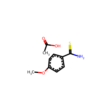 CC(=O)O.COc1ccc(C(N)=S)cc1